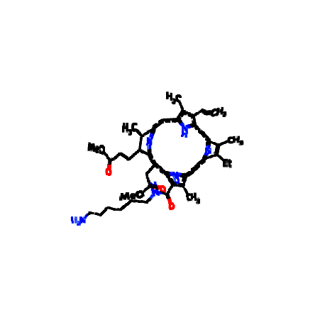 C=Cc1c(C)c2cc3nc(c(CC(=O)OC)c4[nH]c(cc5nc(cc1[nH]2)C(C)=C5CC)c(C)c4C(=O)NCCCCCCN)C(CCC(=O)OC)C3C